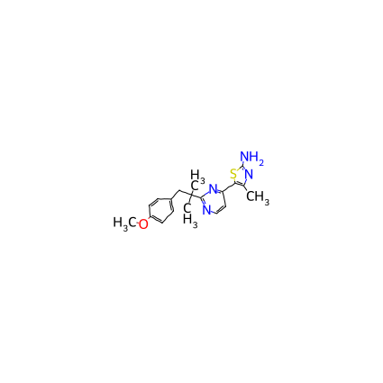 COc1ccc(CC(C)(C)c2nccc(-c3sc(N)nc3C)n2)cc1